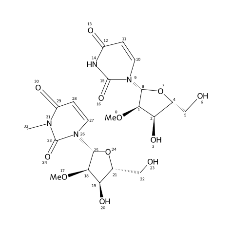 CO[C@@H]1[C@H](O)[C@@H](CO)O[C@H]1n1ccc(=O)[nH]c1=O.CO[C@@H]1[C@H](O)[C@@H](CO)O[C@H]1n1ccc(=O)n(C)c1=O